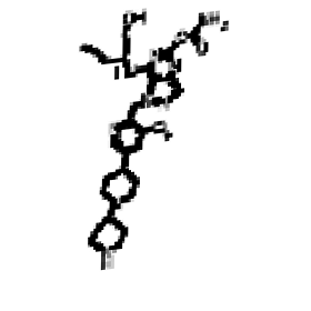 CCC[C@@H](CCO)Nc1nc(OC(N)=O)nc2cnn(Cc3ncc(C4CCN(C5CCNCC5)CC4)cc3OC)c12